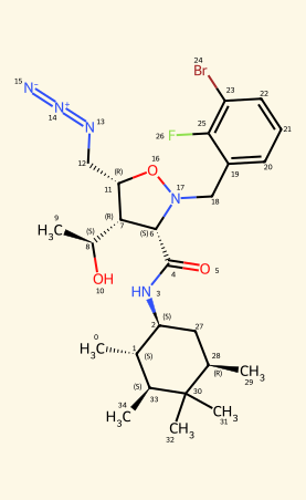 C[C@@H]1[C@@H](NC(=O)[C@@H]2[C@H]([C@H](C)O)[C@H](CN=[N+]=[N-])ON2Cc2cccc(Br)c2F)C[C@@H](C)C(C)(C)[C@H]1C